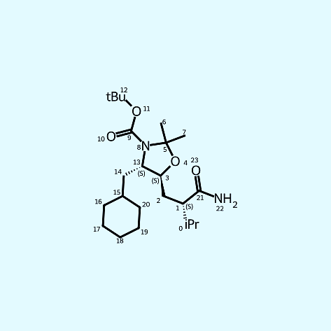 CC(C)[C@H](C[C@@H]1OC(C)(C)N(C(=O)OC(C)(C)C)[C@H]1CC1CCCCC1)C(N)=O